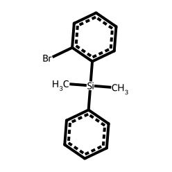 C[Si](C)(c1ccccc1)c1ccccc1Br